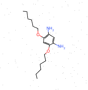 CCCCCCOc1cc(OCCCCCC)c(N)cc1N